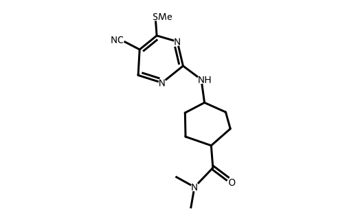 CSc1nc(NC2CCC(C(=O)N(C)C)CC2)ncc1C#N